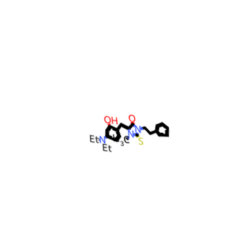 CCN(CC)c1ccc(C=C2C(=O)N(CCc3ccccc3)C(=S)N2C)c(O)c1